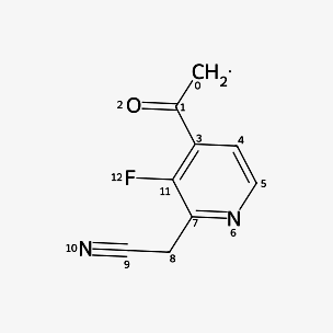 [CH2]C(=O)c1ccnc(CC#N)c1F